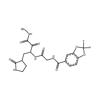 CC(C)(C)NC(=O)C(=O)C(CC1CCNC1=O)NC(=O)CNC(=O)c1ccc2c(c1)OC(F)(F)O2